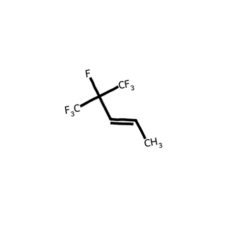 CC=CC(F)(C(F)(F)F)C(F)(F)F